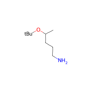 CC(CCCN)OC(C)(C)C